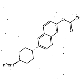 CCCCC[C@H]1CC[C@H](c2ccc3cc(OC(=O)CC)ccc3c2)CC1